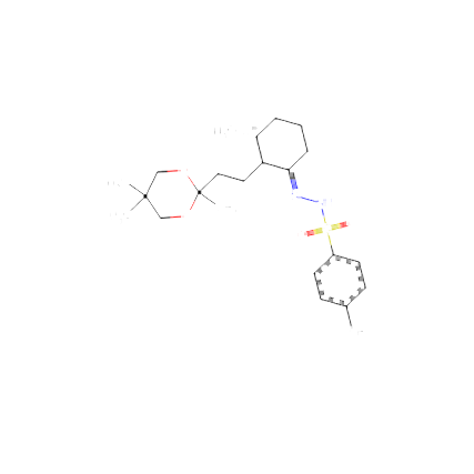 Cc1ccc(S(=O)(=O)NN=C2CCC[C@@H](C)C2CCC2(C)OCC(C)(C)CO2)cc1